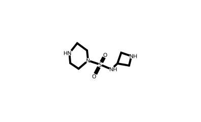 O=S(=O)(NC1CNC1)N1CCNCC1